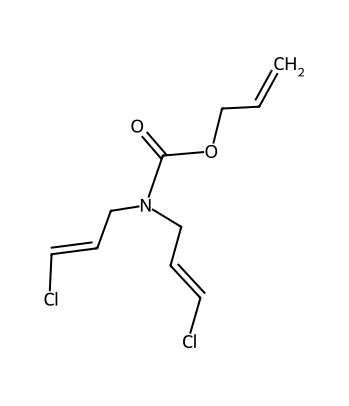 C=CCOC(=O)N(CC=CCl)CC=CCl